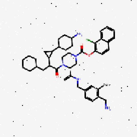 C=C(NCc1ccc(CN)c(OC)c1)[C@@H]1CN(C(=O)Oc2ccc3ccccc3c2Cl)CCN1C(=O)C(CC1CCCCC1)C1CC1C1CCC(N)CC1